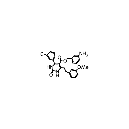 COc1cccc(CCC2=C(C(=O)OCc3cccc(N)c3)C(c3cccc(Cl)c3)NC(=O)N2)c1